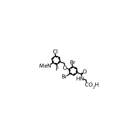 CNc1cc(Cl)cc(COc2c(Br)cc(C(=O)NCC(=O)O)cc2Br)c1F